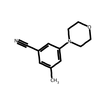 Cc1cc(C#N)cc(N2CCOCC2)c1